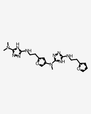 CN(C)c1nnc(NCCc2cc(N(C)c3nnc(NCCc4ccco4)[nH]3)co2)[nH]1